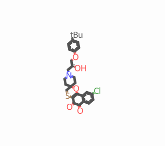 CC(C)(C)c1ccc(OC[C@@H](O)CN2CCC3(CC2)CSC2=C(O3)c3cc(Cl)ccc3C(=O)C2=O)cc1